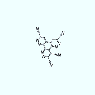 N#Cc1cc2c3cc(C#N)nnc3c3c(C#N)c(C#N)nnc3c2nn1